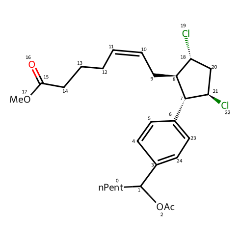 CCCCCC(OC(C)=O)c1ccc([C@@H]2[C@@H](C/C=C\CCCC(=O)OC)[C@H](Cl)C[C@H]2Cl)cc1